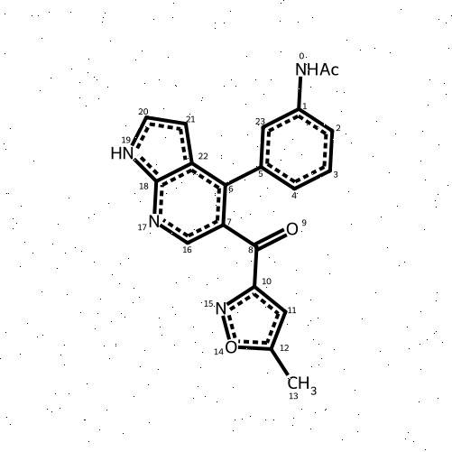 CC(=O)Nc1cccc(-c2c(C(=O)c3cc(C)on3)cnc3[nH]ccc23)c1